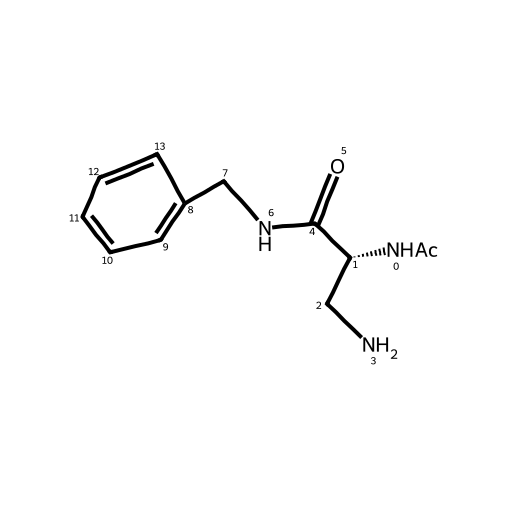 CC(=O)N[C@H](CN)C(=O)NCc1ccccc1